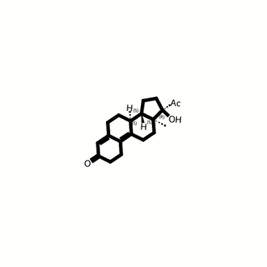 CC(=O)[C@@]1(O)CC[C@H]2[C@@H]3CCC4=CC(=O)CCC4=C3CC[C@@]21C